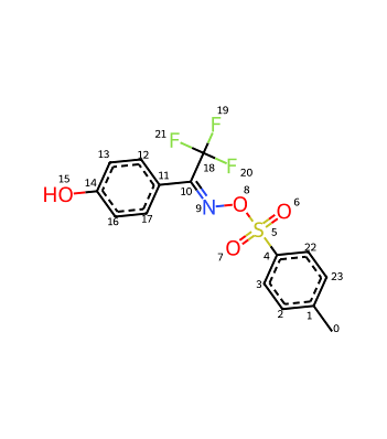 Cc1ccc(S(=O)(=O)O/N=C(/c2ccc(O)cc2)C(F)(F)F)cc1